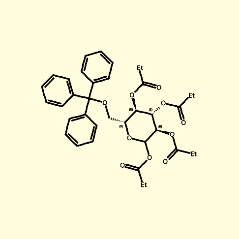 CCC(=O)OC1O[C@H](COC(c2ccccc2)(c2ccccc2)c2ccccc2)[C@@H](OC(=O)CC)[C@H](OC(=O)CC)[C@H]1OC(=O)CC